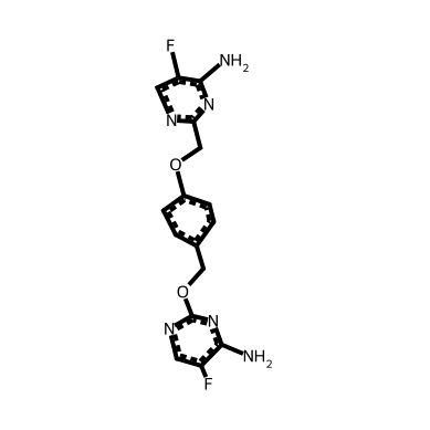 Nc1nc(COc2ccc(COc3ncc(F)c(N)n3)cc2)ncc1F